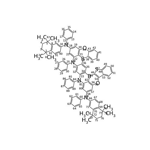 CC1(C)CCC(C)(C)c2cc(N(c3ccccc3)c3cc4c5c(c3)N(c3ccccc3)c3cc6c(cc3B5c3ccccc3O4)B3c4sc5ccccc5c4Oc4cc(N(c5ccccc5)c5ccc7c(c5)C(C)(C)CCC7(C)C)cc(c43)N6c3ccccc3)ccc21